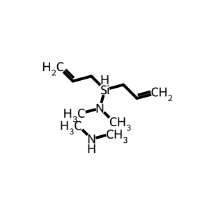 C=CC[SiH](CC=C)N(C)C.CNC